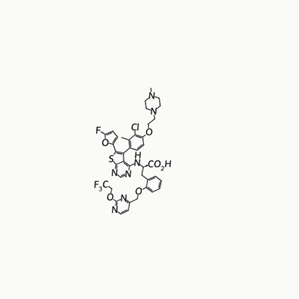 Cc1c(-c2c(-c3ccc(F)o3)sc3ncnc(N[C@H](Cc4ccccc4OCc4ccnc(OCC(F)(F)F)n4)C(=O)O)c23)ccc(OCCN2CCN(C)CC2)c1Cl